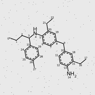 CCCC(Nc1ccc(Cc2ccc(N)c(CC)c2)cc1CC)c1ccc(C)cc1